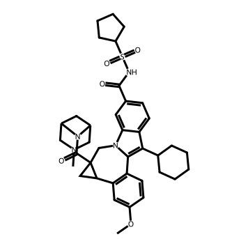 COc1ccc2c(c1)C1CC1(C(=O)N1C3CC1CN(C)C3)Cn1c-2c(C2CCCCC2)c2ccc(C(=O)NS(=O)(=O)C3CCCC3)cc21